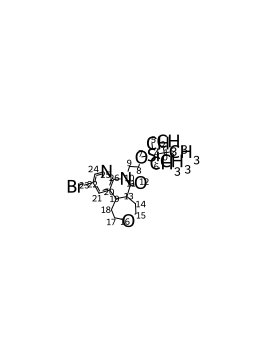 CC(C)(C)[Si](C)(C)OCCN1C(=O)C2CCOCCC2c2cc(Br)cnc21